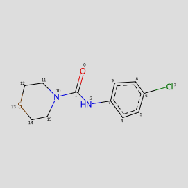 O=C(Nc1ccc(Cl)cc1)N1CCSCC1